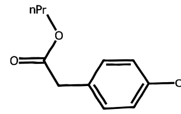 CCCOC(=O)Cc1ccc(Cl)cc1